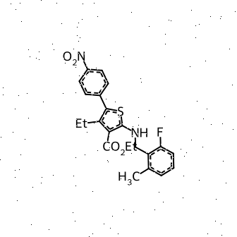 CCOC(=O)c1c(NCc2c(C)cccc2F)sc(-c2ccc([N+](=O)[O-])cc2)c1CC